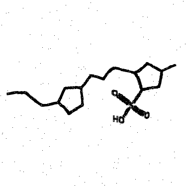 CCCC1CCC(CCCC2CC(C)CC2S(=O)(=O)O)C1